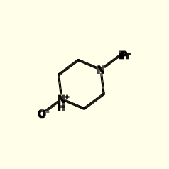 CC(C)N1CC[NH+]([O-])CC1